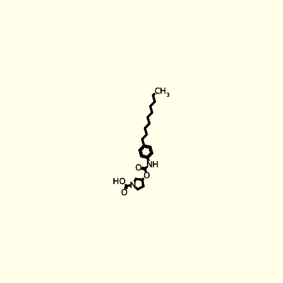 CCCCCCCCCCc1ccc(NC(=O)OC2CCN(C(=O)O)C2)cc1